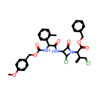 C=C(CCl)C(C(=O)OCc1ccccc1)N1C(=O)C(NC(=O)C(NC(=O)OCc2ccc(OC)cc2)c2ccccc2C)C1Cl